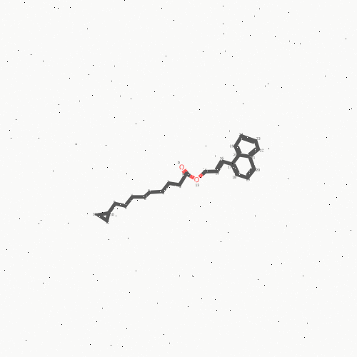 O=C(CCCCCCCCC1CC1)OCC=Cc1cccc2ccccc12